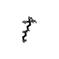 C[N+](C)(C)CCONCCO